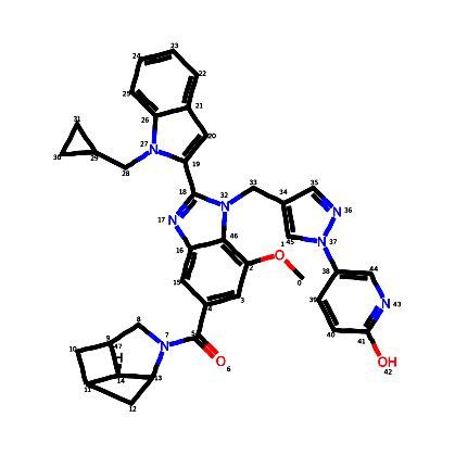 COc1cc(C(=O)N2CC3CC4CC2[C@H]43)cc2nc(-c3cc4ccccc4n3CC3CC3)n(Cc3cnn(-c4ccc(O)nc4)c3)c12